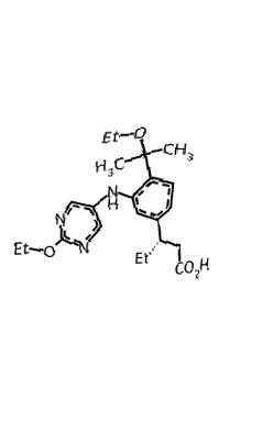 CCOc1ncc(Nc2cc([C@@H](CC)CC(=O)O)ccc2C(C)(C)OCC)cn1